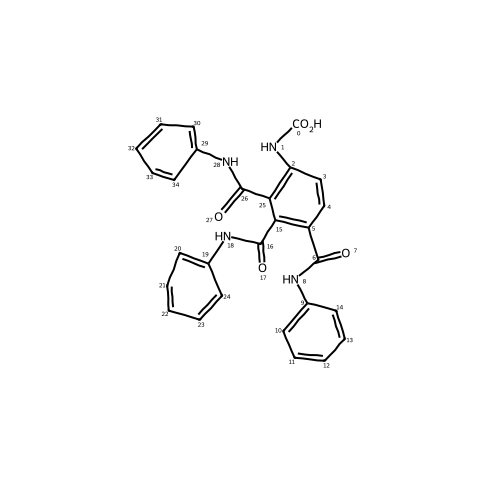 O=C(O)Nc1ccc(C(=O)Nc2ccccc2)c(C(=O)Nc2ccccc2)c1C(=O)Nc1ccccc1